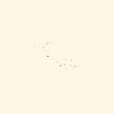 CCCCOC(CC)(OCCCC)OC(CC)OC(=O)CCCCC(=O)OC(CC)OC(CC)(OCCCC)OCCCC